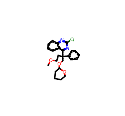 COCCC(COC1CCCCO1)(c1ccccc1)c1nc(Cl)nc2ccccc12